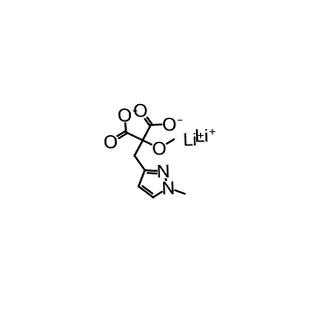 COC(Cc1ccn(C)n1)(C(=O)[O-])C(=O)[O-].[Li+].[Li+]